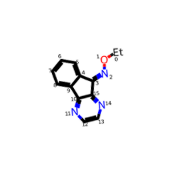 CCO/N=C1\c2ccccc2-c2nccnc21